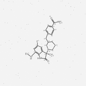 CCNc1cc(F)cc2c1NC(=O)[C@@]2(C)N1CCCC(Cc2ccc(C(N)=O)cc2)C1